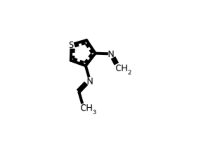 C=Nc1cscc1N=CC